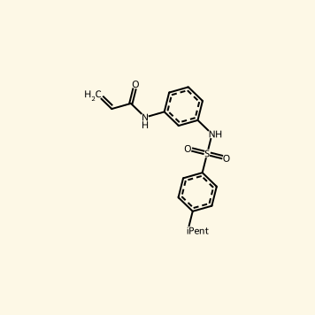 C=CC(=O)Nc1cccc(NS(=O)(=O)c2ccc(C(C)CCC)cc2)c1